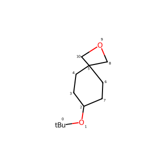 CC(C)(C)OC1CCC2(CC1)COC2